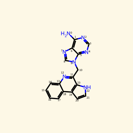 Nc1ncnc2c1ncn2Cc1nc2ccccc2c2cc[nH]c12